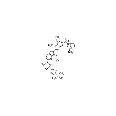 COc1cc(C(=O)N2C[C@H](N)[C@@H]3CC[C@H]2C3)cc2nc(-c3cc4ccc([C@@H](C)NC(=O)c5ccc(C(C)(C)O)nc5)nc4n3CC3CC3)n(C)c12